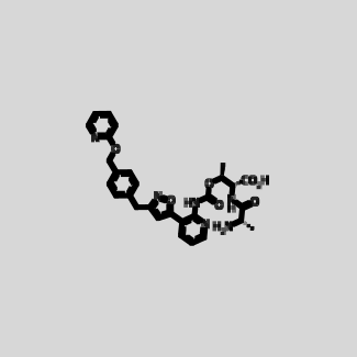 C[C@H](N)C(=O)N[C@@H](C(=O)O)[C@H](C)OC(=O)Nc1ncccc1-c1cc(Cc2ccc(COc3ccccn3)cc2)no1